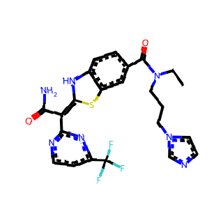 CCN(CCCn1ccnc1)C(=O)c1ccc2c(c1)S/C(=C(/C(N)=O)c1nccc(C(F)(F)F)n1)N2